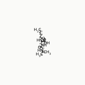 CCSCCC(=O)N[C@H](CNC(=O)CNC(C)C)C(=O)O